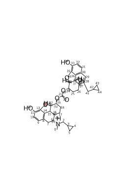 CN(CC1CC1)[C@@H]1Cc2ccc(O)c3c2C2[C@H]1CC[C@H](OC(=O)O[C@H]1CC[C@H]4C5Cc6ccc(O)c7c6[C@@]4(CCN5CC4CC4)[C@H]1O7)[C@@H]2O3